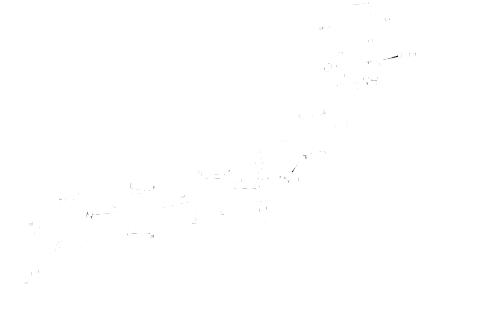 C[C@@H](NC(=O)[C@H]1CC[C@H](NS(=O)(=O)c2ccc(-c3ccc(N(C)CC(=O)O)cc3)cc2)CC1)c1ccc(F)cc1